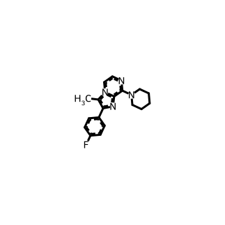 Cc1c(-c2ccc(F)cc2)nc2c(N3CCCCC3)nccn12